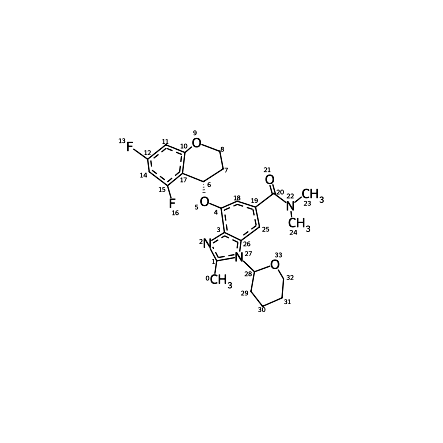 Cc1nc2c(O[C@H]3CCOc4cc(F)cc(F)c43)cc(C(=O)N(C)C)cc2n1C1CCCCO1